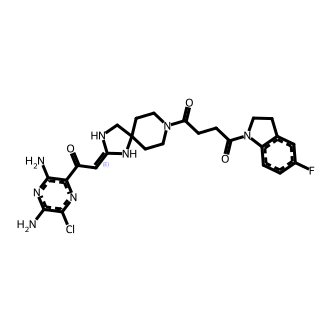 Nc1nc(N)c(C(=O)/C=C2\NCC3(CCN(C(=O)CCC(=O)N4CCc5cc(F)ccc54)CC3)N2)nc1Cl